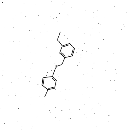 CSc1cccc(CSc2ccc(C)cc2)c1